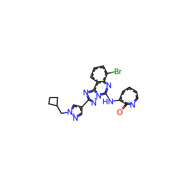 O=c1nccccc1Nc1nc2c(Br)cccc2c2nc(-c3cnn(CC4CCC4)c3)nn12